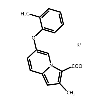 Cc1ccccc1Oc1ccc2cc(C)c(C(=O)[O-])n2c1.[K+]